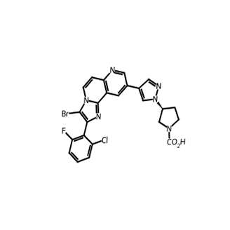 O=C(O)N1CC[C@H](n2cc(-c3cnc4ccn5c(Br)c(-c6c(F)cccc6Cl)nc5c4c3)cn2)C1